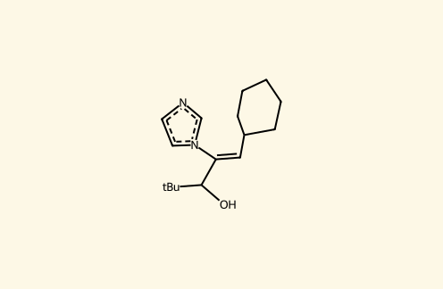 CC(C)(C)C(O)C(=CC1CCCCC1)n1ccnc1